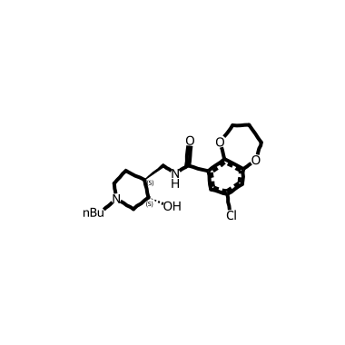 CCCCN1CC[C@@H](CNC(=O)c2cc(Cl)cc3c2OCCCO3)[C@H](O)C1